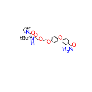 C[C@@H]1CCCN1C(=O)[C@@H](NC(=O)COCCOc1ccc(Oc2ccc(C(N)=O)cc2)cc1)C(C)(C)C